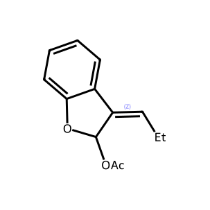 CC/C=C1/c2ccccc2OC1OC(C)=O